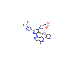 COc1ccncc1-c1cc2c(cnn2-c2cc(N3C[C@H](CS(C)(=O)=O)[C@H]3C)cc(-c3cnn(C(F)F)c3)n2)c(C)n1